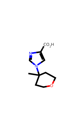 CC1(n2cnc(C(=O)O)c2)CCOCC1